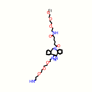 CCOCCOCCOCCNC(=O)CCCCC(=O)N1Cc2ccccc2-c2c(nnn2CCOCCOCCOCCC=N)-c2ccccc21